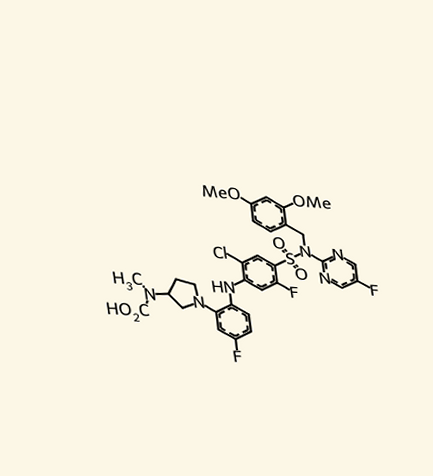 COc1ccc(CN(c2ncc(F)cn2)S(=O)(=O)c2cc(Cl)c(Nc3ccc(F)cc3N3CCC(N(C)C(=O)O)C3)cc2F)c(OC)c1